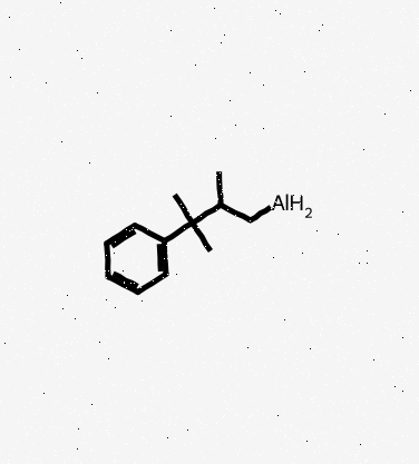 CC([CH2][AlH2])C(C)(C)c1ccccc1